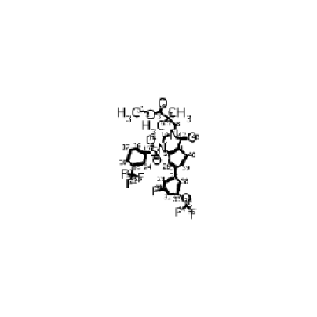 CCOC(=O)C(C)(C)CN1CN(S(=O)(=O)c2cccc(C(F)(F)F)c2)c2cc(-c3cc(F)cc(OC(F)F)c3)ccc2C1=O